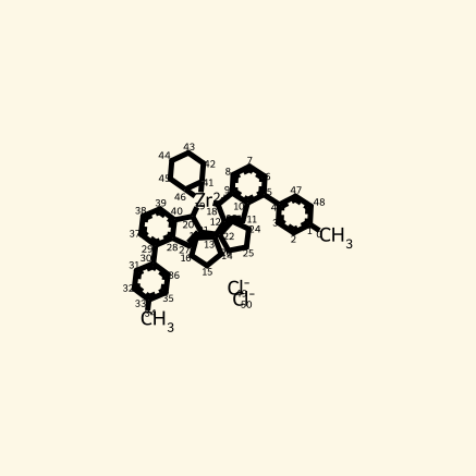 Cc1ccc(-c2cccc3c2C=C(C2CCCC2)[CH]3[Zr+2]2([CH]3C(C4CCCC4)=Cc4c(-c5ccc(C)cc5)cccc43)[CH]3CCCC[CH]32)cc1.[Cl-].[Cl-]